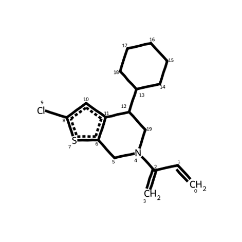 C=CC(=C)N1Cc2sc(Cl)cc2C(C2CCCCC2)C1